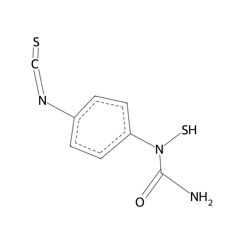 NC(=O)N(S)c1ccc(N=C=S)cc1